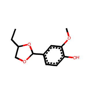 CCC1COC(c2ccc(O)c(OC)c2)O1